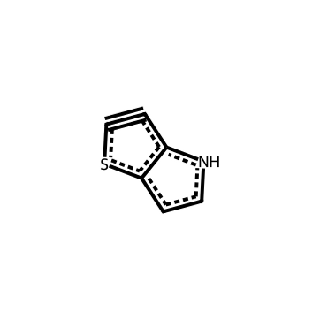 c1sc2cc[nH]c2c#1